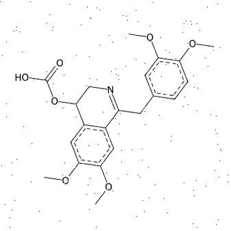 COc1ccc(CC2=NCC(OC(=O)O)c3cc(OC)c(OC)cc32)cc1OC